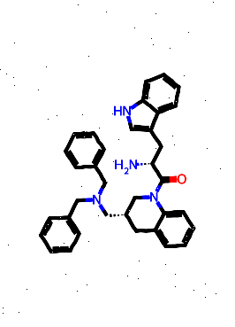 N[C@H](Cc1c[nH]c2ccccc12)C(=O)N1C[C@@H](CN(Cc2ccccc2)Cc2ccccc2)Cc2ccccc21